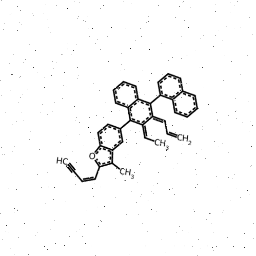 C#C/C=C\c1oc2ccc(-c3c(=C/C)/c(=C\C=C)c(-c4cccc5ccccc45)c4ccccc34)cc2c1C